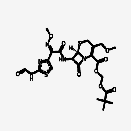 COCC1=C(C(=O)OCOC(=O)C(C)(C)C)N2C(=O)C(NC(=O)/C(=N\OC)c3csc(NC=O)n3)[C@H]2SC1